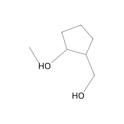 CC.OCC1CCCC1O